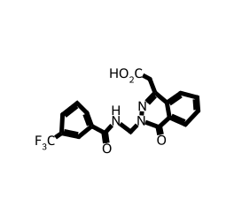 O=C(O)Cc1nn(CNC(=O)c2cccc(C(F)(F)F)c2)c(=O)c2ccccc12